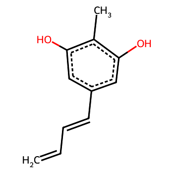 C=C/C=C/c1cc(O)c(C)c(O)c1